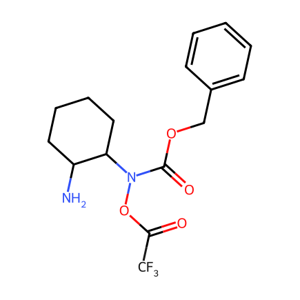 NC1CCCCC1N(OC(=O)C(F)(F)F)C(=O)OCc1ccccc1